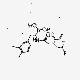 C=CC(=O)N(CC(=O)NC(Cc1ccc(C)c(C)c1)B(O)O)CC(F)F